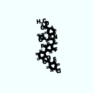 COC(=O)c1ccc2nc(Cc3cc(F)c(-c4cccc5c4OC(c4ccc(Cl)cc4F)O5)cc3F)n(C[C@@H]3CCO3)c2c1